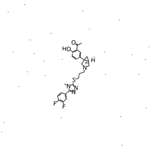 CC(=O)c1cc(C23C[C@H]2CN(CCCSc2nnc(-c4ccc(F)c(F)c4)n2C)C3)ccc1O